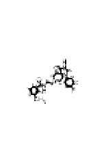 Cc1cccc(C(=O)NCCN2CCC3(CC2)C(=O)NCN3c2ccc(F)cc2)c1